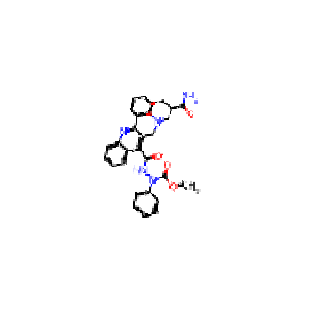 COC(=O)N(NC(=O)c1c(CN2CCCC(C(N)=O)C2)c(-c2ccccc2)nc2ccccc12)c1ccccc1